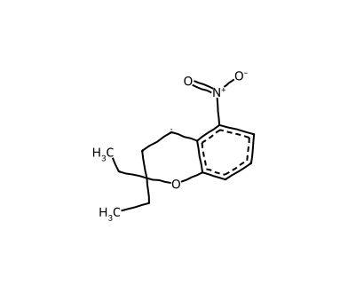 CCC1(CC)C[CH]c2c(cccc2[N+](=O)[O-])O1